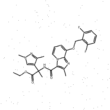 CCOC(=O)C(C)(NC(=O)c1c(C)nc2c(OCc3c(F)cccc3F)cccn12)c1cn(C)nc1C